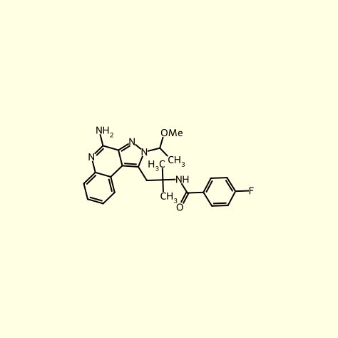 COC(C)n1nc2c(N)nc3ccccc3c2c1CC(C)(C)NC(=O)c1ccc(F)cc1